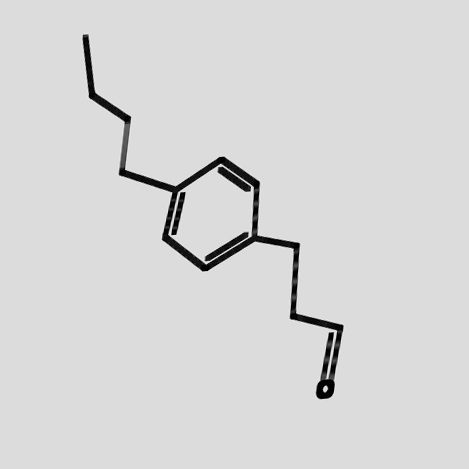 CCCCc1ccc(CCC=O)cc1